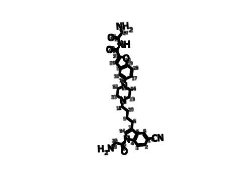 N#Cc1ccc2c(c1)c(CCCCN1CCN(c3ccc4oc(C(=O)NC(=O)CN)cc4c3)CC1)cn2C(=O)CN